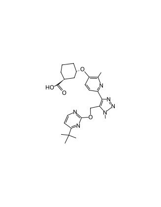 Cc1nc(-c2nnn(C)c2COc2nccc(C(C)(C)C)n2)ccc1O[C@H]1CCC[C@H](C(=O)O)C1